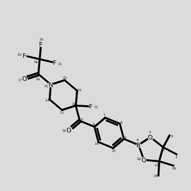 CC1(C)OB(c2ccc(C(=O)C3(F)CCN(C(=O)C(F)(F)F)CC3)cc2)OC1(C)C